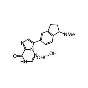 CNC1CCc2cc(-c3cnc4c(=O)[nH]cnn34)ccc21.O=CO